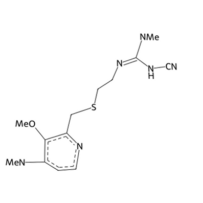 CN/C(=N/CCSCc1nccc(NC)c1OC)NC#N